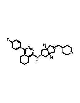 Fc1ccc(-c2nnc(N[C@H]3C[C@@H]4CN(CC5CCOCC5)C[C@@H]4C3)c3c2CCCC3)cc1